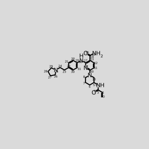 C=CC(=O)NC1CCCN(c2ccc(C(N)=O)c(Nc3ccc(CCN4CCCC4)cc3)n2)C1